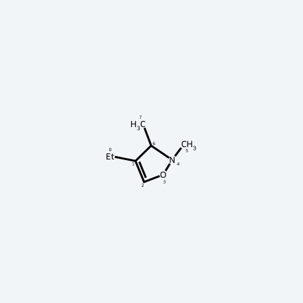 CCC1=CON(C)C1C